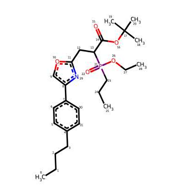 CCCCc1ccc(-c2coc(CC(C(=O)OC(C)(C)C)P(=O)(CCC)OCC)n2)cc1